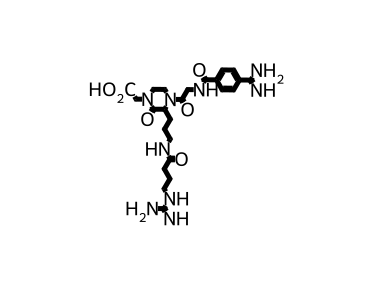 N=C(N)NCCCC(=O)NCCCC1C(=O)N(CC(=O)O)CCN1C(=O)CNC(=O)c1ccc(C(=N)N)cc1